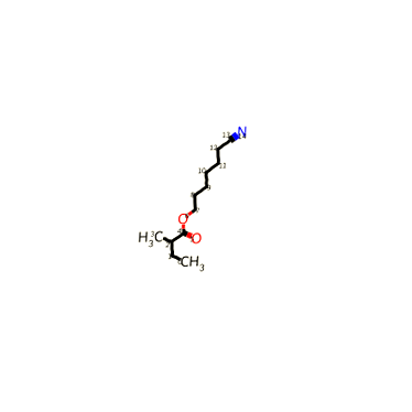 CCC(C)C(=O)OCCCCCCC#N